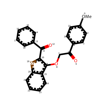 COc1ccc(C(=O)COc2c(C(=O)c3ccccc3)sc3ccccc23)cc1